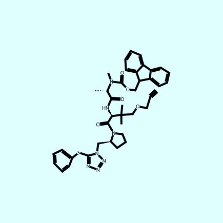 C#CCOCC(C)(C)[C@H](NC(=O)[C@H](C)N(C)C(=O)OCC1c2ccccc2-c2ccccc21)C(=O)N1CCC[C@H]1Cn1nnnc1Sc1ccccc1